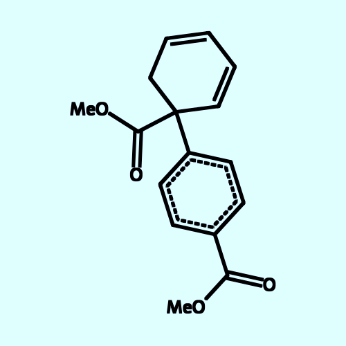 COC(=O)c1ccc(C2(C(=O)OC)C=CC=CC2)cc1